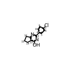 Oc1nc(-c2ccc(Cl)cc2)nc2c1CCC2